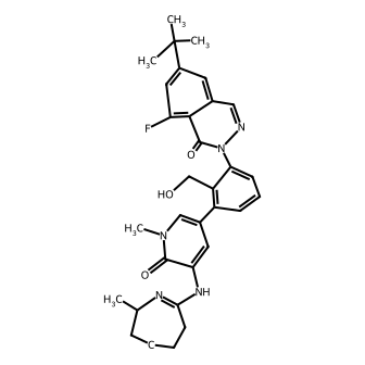 CC1CCCCC(Nc2cc(-c3cccc(-n4ncc5cc(C(C)(C)C)cc(F)c5c4=O)c3CO)cn(C)c2=O)=N1